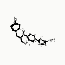 CCC(Cc1ccc(Cl)cc1)N(C)C1CCN(c2nc(N)n[nH]2)CC1